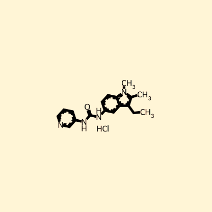 CCc1c(C)n(C)c2ccc(NC(=O)Nc3cccnc3)cc12.Cl